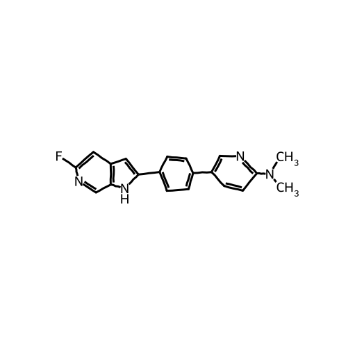 CN(C)c1ccc(-c2ccc(-c3cc4cc(F)ncc4[nH]3)cc2)cn1